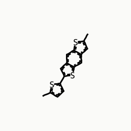 Cc1ccc(-c2cc3cc4sc(C)cc4cc3s2)s1